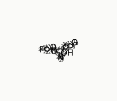 COc1ccc2cc(C3(O)CCC(OC(=O)c4ccc(F)cc4)CC3CN(C)C)ccc2c1